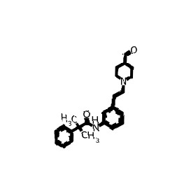 CC(C)(C(=O)Nc1cccc(CCN2CCC([C]=O)CC2)c1)c1ccccc1